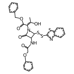 CC(O)=C(C(=O)OCc1ccccc1)N1C(=O)C(NC(=O)COc2ccccc2)C1SSc1nc2ccccc2s1